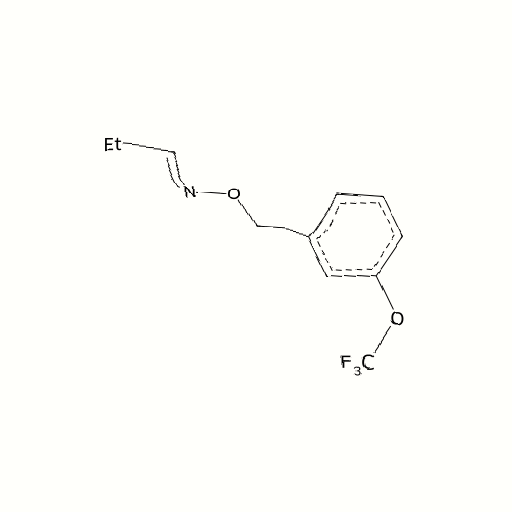 CCC=NOCc1cccc(OC(F)(F)F)c1